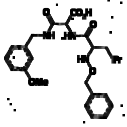 COc1cccc(CNC(=O)C(NC(=O)C(CC(C)C)NOCc2ccccc2)C(=O)O)c1